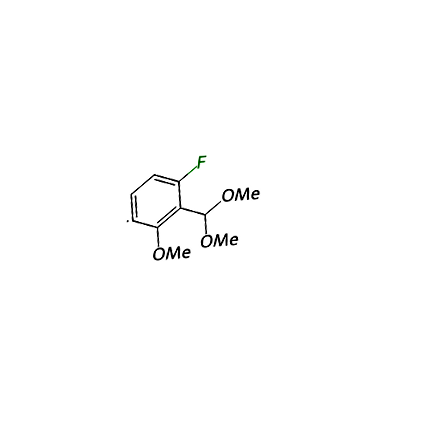 COc1[c]ccc(F)c1C(OC)OC